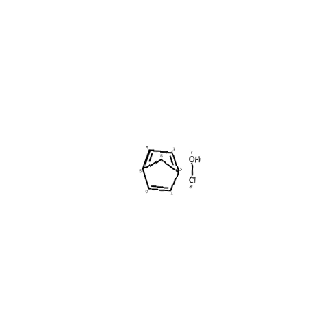 C1=CC2=CC=C1C2.OCl